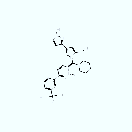 C=Nc1cc(-c2ccn(C)n2)nn1\C(=C/C=C\C(=N/NC)c1cccc(C(C)(C)O)c1)N1CCCCC1